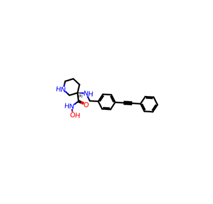 O=C(NO)[C@@]1(NCc2ccc(C#Cc3ccccc3)cc2)CCCNC1